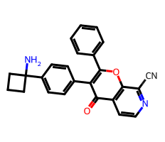 N#Cc1nccc2c(=O)c(-c3ccc(C4(N)CCC4)cc3)c(-c3ccccc3)oc12